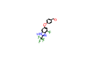 O=Cc1ccc(Oc2cc(F)c3nc(C(F)(F)F)[nH]c3c2)cc1